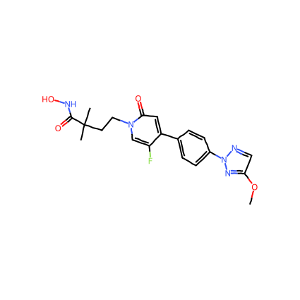 COc1cnn(-c2ccc(-c3cc(=O)n(CCC(C)(C)C(=O)NO)cc3F)cc2)n1